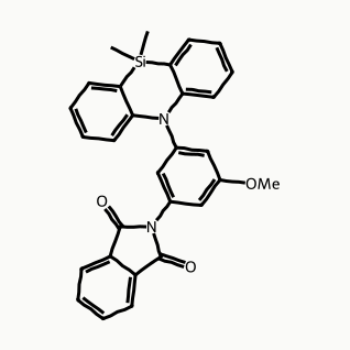 COc1cc(N2C(=O)c3ccccc3C2=O)cc(N2c3ccccc3[Si](C)(C)c3ccccc32)c1